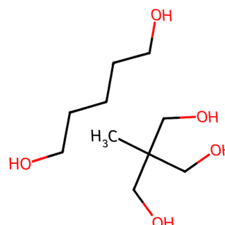 CC(CO)(CO)CO.OCCCCCO